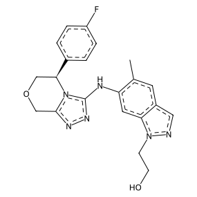 Cc1cc2cnn(CCO)c2cc1Nc1nnc2n1[C@H](c1ccc(F)cc1)COC2